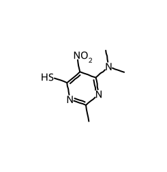 Cc1nc(S)c([N+](=O)[O-])c(N(C)C)n1